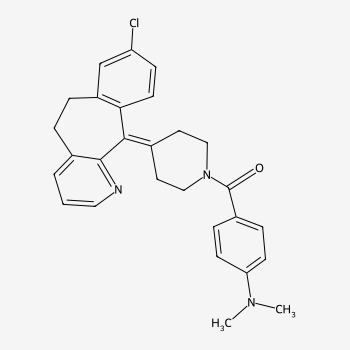 CN(C)c1ccc(C(=O)N2CCC(=C3c4ccc(Cl)cc4CCc4cccnc43)CC2)cc1